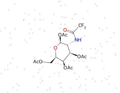 CC(=O)OC[C@H]1O[C@@H](OC(C)=O)[C@H](NC(=O)C(F)(F)F)[C@@H](OC(C)=O)[C@H]1OC(C)=O